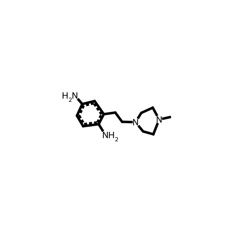 CN1CCN(CCc2cc(N)ccc2N)CC1